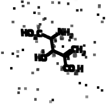 C=C(C(=O)O)C(O)C(N)C(=O)O